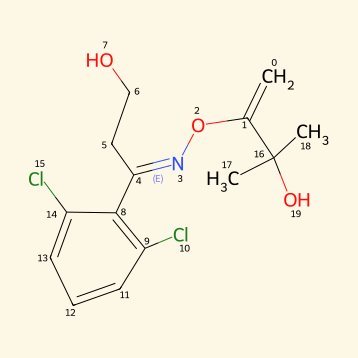 C=C(O/N=C(\CCO)c1c(Cl)cccc1Cl)C(C)(C)O